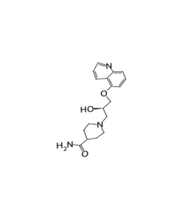 NC(=O)C1CCN(C[C@@H](O)COc2cccc3ncccc23)CC1